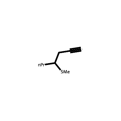 [C]#CCC(CCC)SC